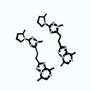 Cc1ncc(C)n2nc(CCc3nc(N4CCCC4C)nn3C)nc12.Cc1ncc(C)n2nc(CCc3nc(N4CCCC4C)nn3C)nc12